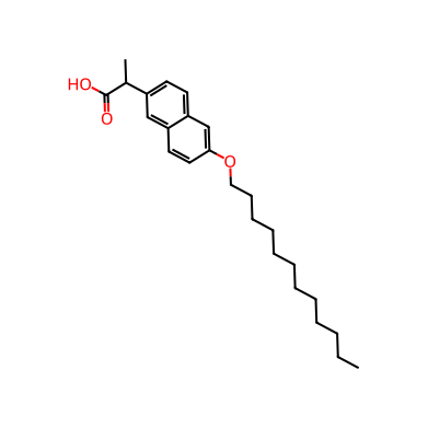 CCCCCCCCCCCCOc1ccc2cc(C(C)C(=O)O)ccc2c1